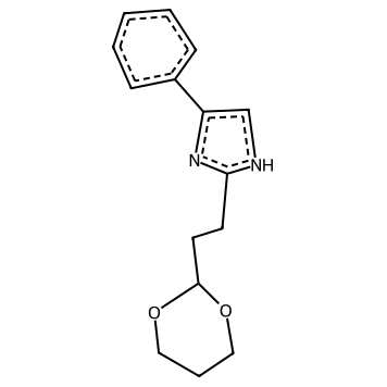 c1ccc(-c2c[nH]c(CCC3OCCCO3)n2)cc1